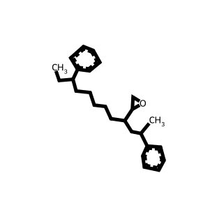 CCC(CCCCCC(CC(C)c1ccccc1)C1CO1)c1ccccc1